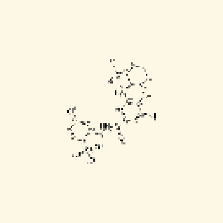 CCS(=O)(=O)c1ccc(Cl)cc1CNC(=O)c1cc(Cl)c(CN2CCCC(N(C)C)C2)c(C(F)(F)F)c1